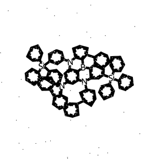 c1ccc(-c2cccc(N3c4cc([Si](c5ccccc5)(c5ccccc5)c5ccccc5)ccc4B4c5c(-c6ccccc6)cccc5N(c5cccc([Si](c6ccccc6)(c6ccccc6)c6ccccc6)c5)c5cc(-n6c7ccccc7c7ccccc76)cc3c54)c2)cc1